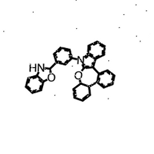 C1=CC2Oc3c(c4ccccc4n3-c3cccc(C4Nc5ccccc5O4)c3)-c3ccccc3C2C=C1